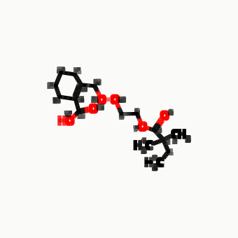 CCC(C)(C)C(=O)OCCOOCC1=C(C(=O)O)CCCC1